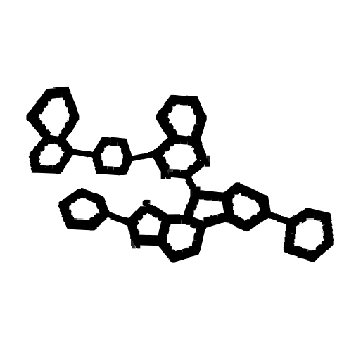 c1ccc(-c2ccc3c(c2)c2ccc4nc(-c5ccccc5)sc4c2n3-c2nc(-c3ccc(-c4cccc5ccccc45)cc3)c3ccccc3n2)cc1